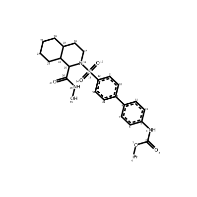 CC(C)OC(=O)Nc1ccc(-c2ccc(S(=O)(=O)N3CCC4CCCCC4C3C(=O)NO)cc2)cc1